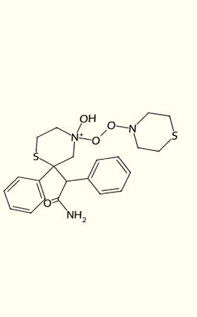 NC(=O)C(c1ccccc1)C1(c2ccccc2)C[N+](O)(OON2CCSCC2)CCS1